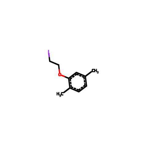 Cc1ccc(C)c(OCCI)c1